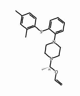 C=CO[C@H](C)N1CCN(c2ccccc2Sc2ccc(C)cc2C)CC1